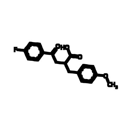 COc1ccc(CC(CC(=O)c2ccc(F)cc2)C(=O)O)cc1